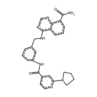 NC(=O)c1cccc2c(NCc3cccc(NC(=O)c4ccnc(N5CCCC5)c4)c3)ncnc12